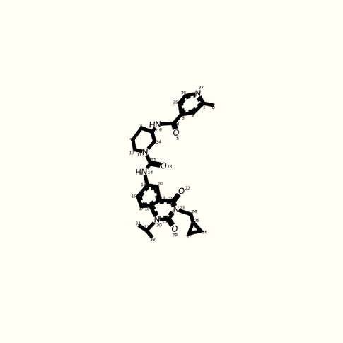 Cc1cc(C(=O)NC2CCCN(C(=O)Nc3ccc4c(c3)c(=O)n(CC3CC3)c(=O)n4C(C)C)C2)ccn1